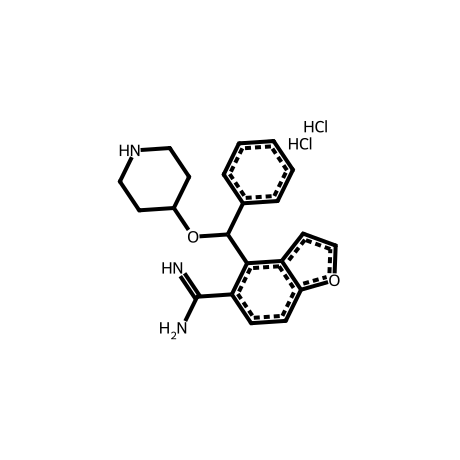 Cl.Cl.N=C(N)c1ccc2occc2c1C(OC1CCNCC1)c1ccccc1